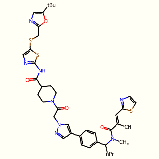 CCCC(c1ccc(-c2cnn(CC(=O)N3CCC(C(=O)Nc4ncc(SCc5ncc(C(C)(C)C)o5)s4)CC3)c2)cc1)N(C)C(=O)/C(C#N)=C/c1nccs1